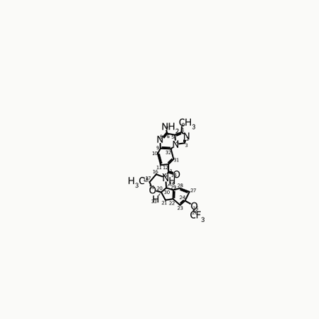 Cc1ncn2c1c(N)nc1ccc(C(=O)N3C[C@@H](C)O[C@@H]4Cc5cc(OC(F)(F)F)ccc5[C@@H]43)cc12